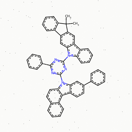 CC1(C)c2ccccc2-c2cc3c(cc21)c1ccccc1n3-c1nc(-c2ccccc2)nc(-n2c3cc(-c4ccccc4)ccc3c3c4ccccc4ccc32)n1